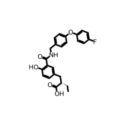 CC[C@@H](Cc1ccc(O)c(C(=O)NCc2ccc(Oc3ccc(F)cc3)cc2)c1)C(=O)O